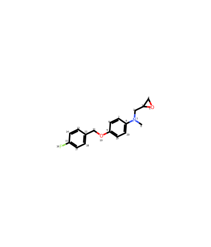 CN(CC1CO1)c1ccc(OCc2ccc(F)cc2)cc1